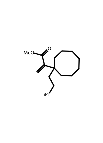 C=C(C(=O)OC)C1(CCC(C)C)CCCCCCC1